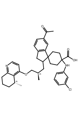 CC(=O)c1ccc2c(c1)C1(CCC(Nc3cccc(Cl)c3)(C(=O)O)CC1)C(C[C@@H](C)COc1ccnc3c1[C@H](C)CCC3)C2